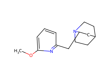 COc1cccc(CC2CC3CCN2CC3)n1